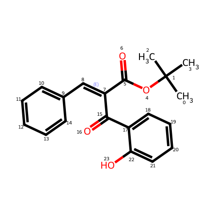 CC(C)(C)OC(=O)/C(=C/c1ccccc1)C(=O)c1ccccc1O